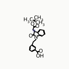 CC(C)(C)OC(=O)/C=C1/C(=O)N(CCc2cccc(C(=O)O)c2)c2ccccc21